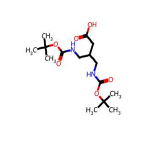 CC(C)(C)OC(=O)NCC(CNC(=O)OC(C)(C)C)CC(=O)O